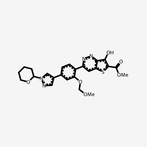 COCOc1cc(-c2cnn(C3CCCCO3)c2)ccc1-c1cc2sc(C(=O)OC)c(O)c2nn1